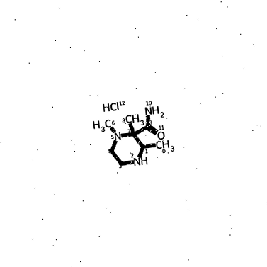 CC1NCCN(C)C1(C)C(N)=O.Cl